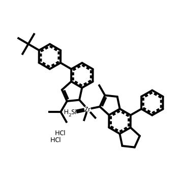 CC1=[C]([Zr]([CH3])([CH3])(=[SiH2])[CH]2C(C(C)C)=Cc3c(-c4ccc(C(C)(C)C)cc4)cccc32)c2cc3c(c(-c4ccccc4)c2C1)CCC3.Cl.Cl